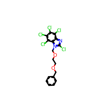 Clc1c(Cl)c(Cl)c2c(nc(Cl)n2COCCOCc2ccccc2)c1Cl